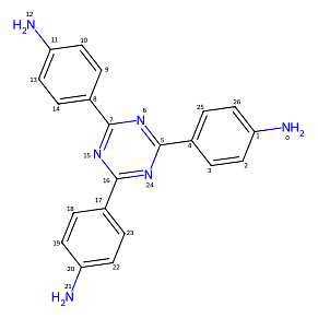 Nc1ccc(-c2nc(-c3ccc(N)cc3)nc(-c3ccc(N)cc3)n2)cc1